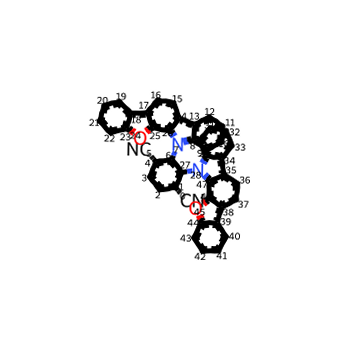 N#Cc1ccc(C#N)c(-n2c3ccccc3c3ccc4c5ccccc5oc4c32)c1-n1c2ccccc2c2ccc3c4ccccc4oc3c21